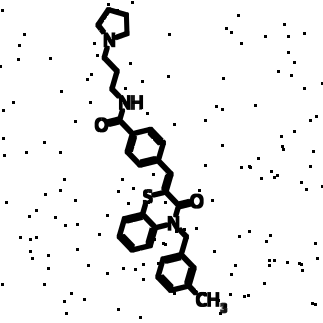 Cc1cccc(CN2C(=O)C(=Cc3ccc(C(=O)NCCCN4CCCC4)cc3)Sc3ccccc32)c1